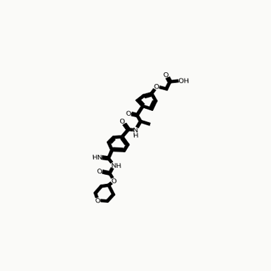 CC(NC(=O)c1ccc(C(=N)NC(=O)OC2CCOCC2)cc1)C(=O)c1ccc(OCC(=O)O)cc1